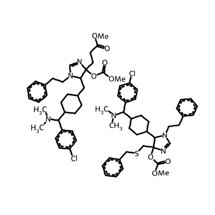 COC(=O)CCC1(OC(=O)OC)N=CN(CCc2ccccc2)C1CC1CCC(C(c2ccc(Cl)cc2)N(C)C)CC1.COC(=O)OC1(CSCc2ccccc2)N=CN(CCc2ccccc2)C1C1CCC(C(c2ccc(Cl)cc2)N(C)C)CC1